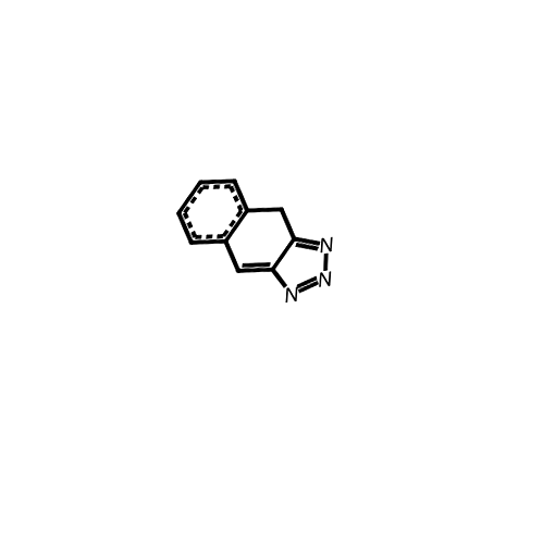 C1=C2N=NN=C2Cc2ccccc21